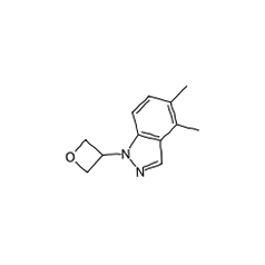 Cc1ccc2c(cnn2C2COC2)c1C